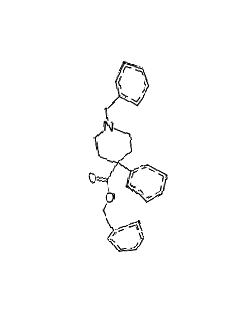 O=C(OCc1ccccc1)C1(c2ccccc2)CCN(Cc2ccccc2)CC1